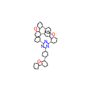 c1ccc(-c2nc(-c3ccc(-c4cccc5c4oc4ccccc45)cc3)nc(-c3cccc4oc5ccc(-c6cccc7oc8cccc(-c9ccccc9)c8c67)cc5c34)n2)cc1